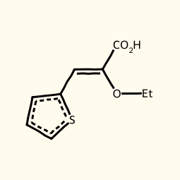 CCOC(=Cc1cccs1)C(=O)O